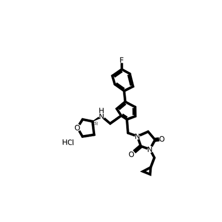 Cl.O=C1CN(Cc2ccc(-c3ccc(F)cc3)cc2CN[C@H]2CCOC2)C(=O)N1CC1CC1